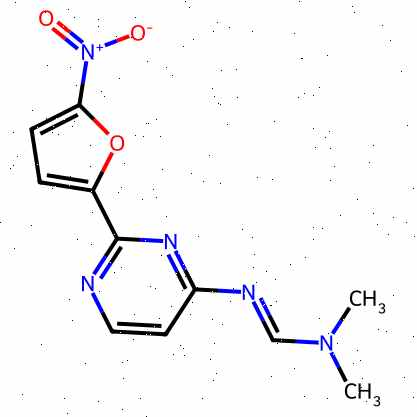 CN(C)C=Nc1ccnc(-c2ccc([N+](=O)[O-])o2)n1